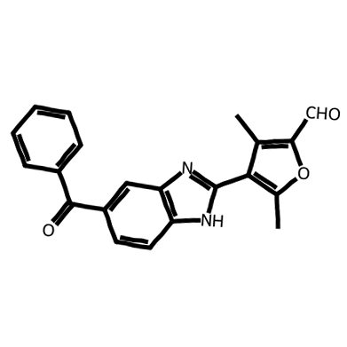 Cc1oc(C=O)c(C)c1-c1nc2cc(C(=O)c3ccccc3)ccc2[nH]1